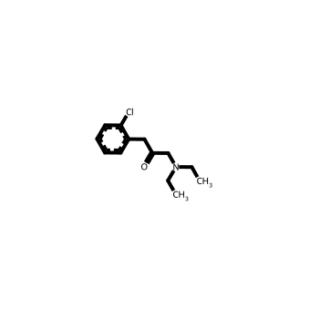 CCN(CC)CC(=O)Cc1ccccc1Cl